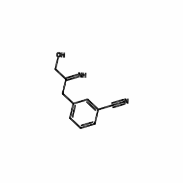 N#Cc1cccc(CC(=N)CO)c1